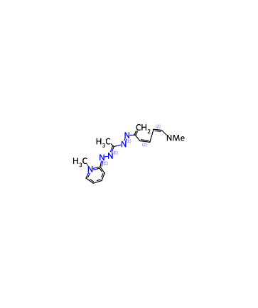 C=C(/C=C\C=C/NC)/N=N/C(C)=N/N=c1\ccccn1C